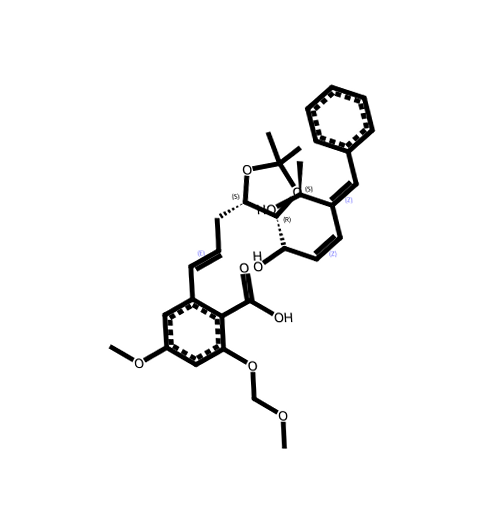 COCOc1cc(OC)cc(/C=C/C[C@@H]2OC(C)(C)O[C@@H]2C(O)/C=C\C(=C\c2ccccc2)[C@H](C)O)c1C(=O)O